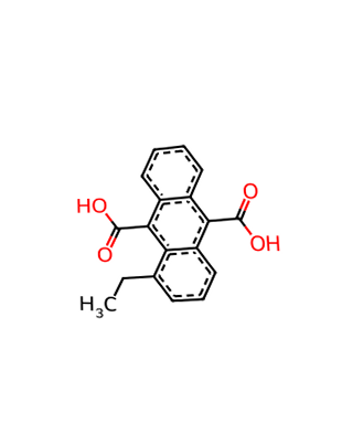 CCc1cccc2c(C(=O)O)c3ccccc3c(C(=O)O)c12